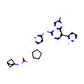 Cn1nccc1-c1cnc(Nc2cc([C@@H]3CC[C@H](OC(=O)NC45CC(C4)C5)[C@H]3F)[nH]n2)n2cc(C#N)nc12